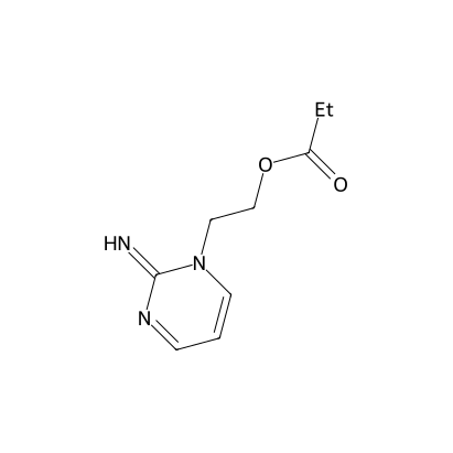 CCC(=O)OCCn1cccnc1=N